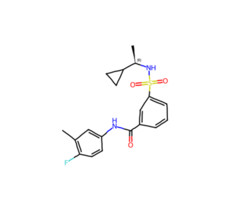 Cc1cc(NC(=O)c2cccc(S(=O)(=O)N[C@H](C)C3CC3)c2)ccc1F